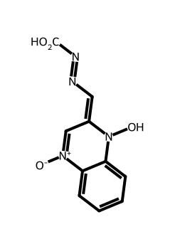 O=C(O)N=N/C=C1\C=[N+]([O-])c2ccccc2N1O